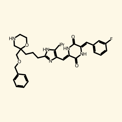 CC(C)c1[nH]c(CCCC2(COCc3ccccc3)CNCCO2)nc1/C=c1\[nH]c(=O)/c(=C/c2cccc(F)c2)[nH]c1=O